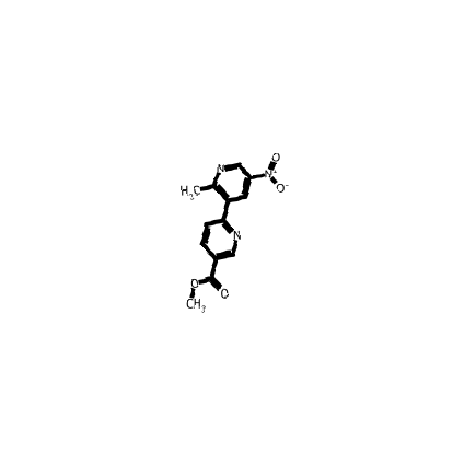 COC(=O)c1ccc(-c2cc([N+](=O)[O-])cnc2C)nc1